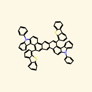 c1ccc(-n2c3ccccc3c3c4c(-c5cccc6c5sc5ccccc56)cc5cc6c(cc(-c7cccc8c7sc7ccccc78)c7c6ccc6c7c7ccccc7n6-c6ccccc6)cc5c4ccc32)cc1